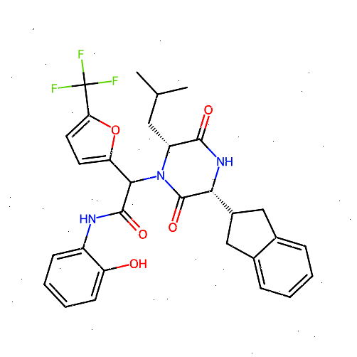 CC(C)C[C@@H]1C(=O)N[C@H](C2Cc3ccccc3C2)C(=O)N1C(C(=O)Nc1ccccc1O)c1ccc(C(F)(F)F)o1